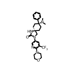 CN(C)[C@]1(c2ccccc2)CC[C@]2(CC1)CN(c1cnc(N3CCOCC3)c(C(F)(F)F)c1)C(=O)N2